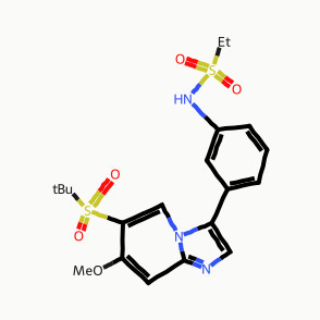 CCS(=O)(=O)Nc1cccc(-c2cnc3cc(OC)c(S(=O)(=O)C(C)(C)C)cn23)c1